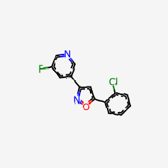 Fc1cncc(-c2cc(-c3ccccc3Cl)on2)c1